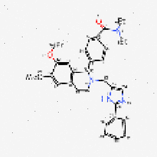 CCN(CC)C(=O)c1ccc([C@@H]2c3cc(OC(C)C)c(OC)cc3CCN2Cc2cnc(-c3ccccc3)[nH]2)cc1